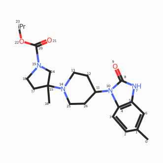 Cc1ccc2c(c1)[nH]c(=O)n2C1CCN(C2(C)CCN(C(=O)OC(C)C)C2)CC1